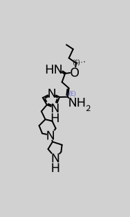 CCC[C@H](C)OC(=N)C/C=C(/N)c1ncc(CC2CCN(C3CCNC3)CC2)[nH]1